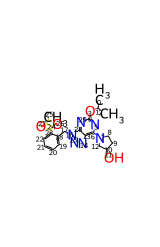 CC(C)Oc1nc(N2CCC(O)C2)c2nnn(Cc3ccccc3S(C)(=O)=O)c2n1